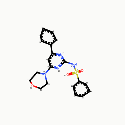 O=S(=O)(Nc1nc(-c2ccccc2)cc(N2CCOCC2)n1)c1ccccc1